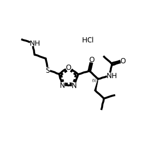 CNCCSc1nnc(C(=O)[C@H](CC(C)C)NC(C)=O)o1.Cl